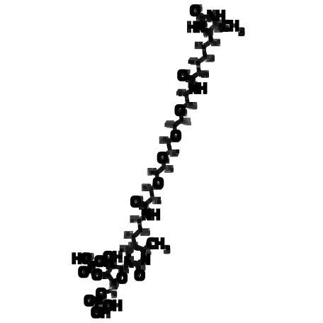 Cc1nc(=O)n([C@@H]2O[C@H](COP(=O)(O)O)C(OP(=O)(O)O)[C@@H]2O)cc1CCCNC(=O)CCOCCOCCOCCOCCNC(=O)CCCCC[C@H]1NC(=O)N[C@H]1C